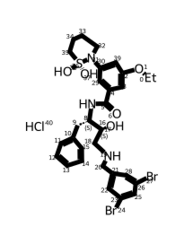 CCOc1cc(C(=O)N[C@@H](Cc2ccccc2)[C@@H](O)CNCc2cc(Br)cc(Br)c2)cc(N2CCCCS2(O)O)c1.Cl